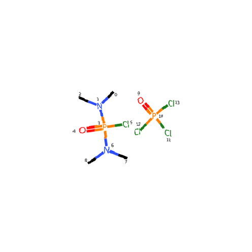 CN(C)P(=O)(Cl)N(C)C.O=P(Cl)(Cl)Cl